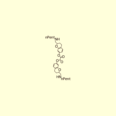 CCCCCNCC1CCc2ccc(OC(=O)C(=O)Oc3ccc4c(c3)OC(CNCCCCC)CC4)cc2O1